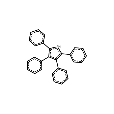 c1ccc(-c2[pH]c(-c3ccccc3)c(-c3ccccc3)c2-c2ccccc2)cc1